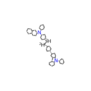 [2H]/C(=C(/[2H])c1ccc(N(c2ccccc2)c2ccc3ccccc3c2)cc1)c1ccc(-c2ccc3c(c2)c2ccccc2n3-c2ccccc2)cc1